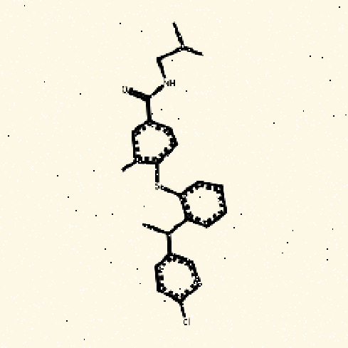 Cc1cc(C(=O)NCC(C)C)ccc1Sc1ccccc1C(C)c1ccc(Cl)cc1